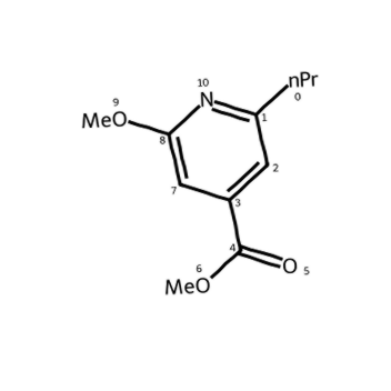 CCCc1cc(C(=O)OC)cc(OC)n1